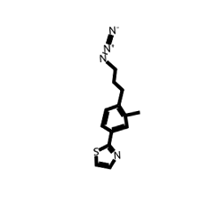 Cc1cc(-c2nccs2)ccc1CCCN=[N+]=[N-]